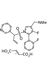 C=CC(c1cccnc1)S(=O)(=O)n1cc(CNC)c(F)c1-c1ccccc1F.O=C(O)/C=C/C(=O)O